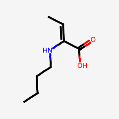 CC=C(NCCCC)C(=O)O